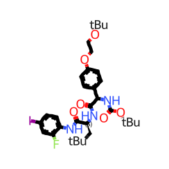 CC(C)(C)C[C@H](NC(=O)C(NC(=O)OC(C)(C)C)c1ccc(OCCOC(C)(C)C)cc1)C(=O)Nc1ccc(I)cc1F